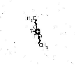 CCCCOc1ccc(OCCCC)c(F)c1F